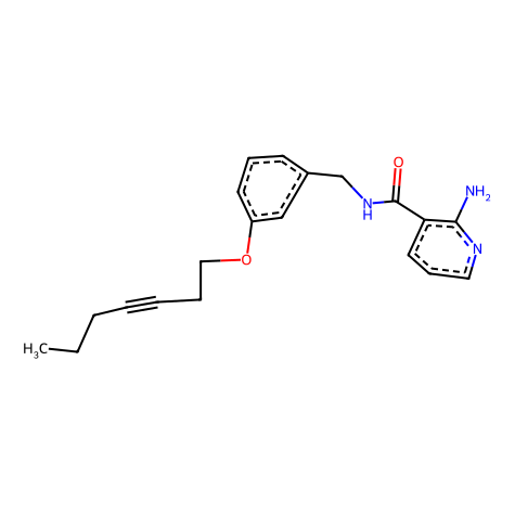 CCCC#CCCOc1cccc(CNC(=O)c2cccnc2N)c1